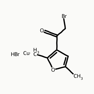 Br.Cc1cc(C(=O)CBr)c(C)o1.[Cu]